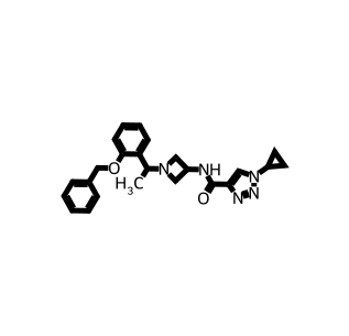 CC(c1ccccc1OCc1ccccc1)N1CC(NC(=O)c2cn(C3CC3)nn2)C1